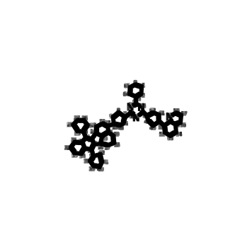 c1ccc(-c2nc(-c3ccc(-c4ccc5c6c(cccc46)-c4c-5c(-c5ccccc5)c5ccccc5c4-c4ccccc4)cc3)nc(-c3ccc(-c4cccc5cccnc45)cc3)n2)cc1